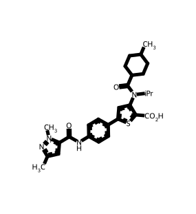 Cc1cc(C(=O)Nc2ccc(-c3cc(N(C(=O)C4CCC(C)CC4)C(C)C)c(C(=O)O)s3)cc2)n(C)n1